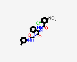 Cc1cccc(NC(=O)CN2C(=O)/C(=N/NC(=O)c3cc([N+](=O)[O-])ccc3Cl)c3ccccc32)c1